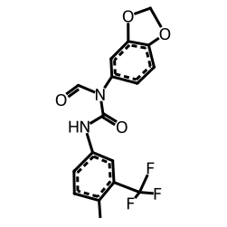 Cc1ccc(NC(=O)N(C=O)c2ccc3c(c2)OCO3)cc1C(F)(F)F